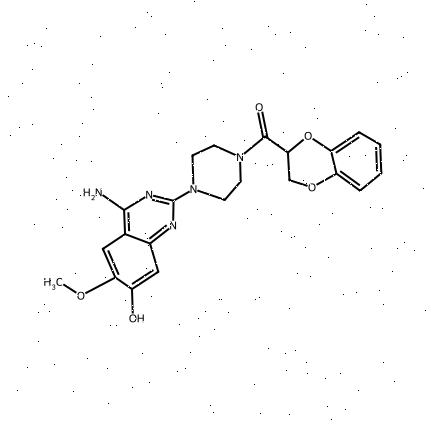 COc1cc2c(N)nc(N3CCN(C(=O)C4COc5ccccc5O4)CC3)nc2cc1O